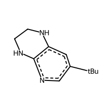 CC(C)(C)c1cnc2c(c1)NCCN2